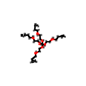 CCCOCCO[Si](OCCOCCC)(OCCOCCC)OCCOCCC